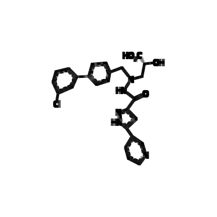 O=C(NN(Cc1ccc(-c2cccc(Cl)c2)cc1)C[C@@H](O)C(=O)O)c1cc(-c2cccnc2)[nH]n1